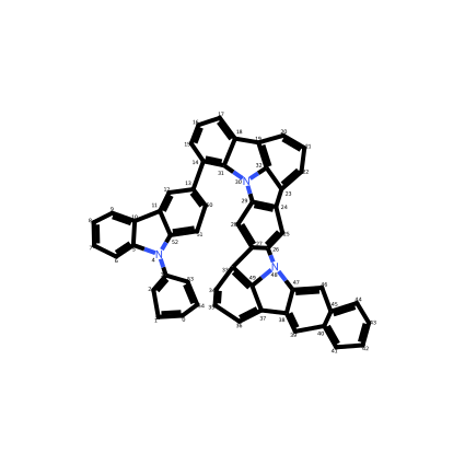 c1ccc(-n2c3ccccc3c3cc(-c4cccc5c6cccc7c8cc9c(cc8n(c45)c76)c4cccc5c6cc7ccccc7cc6n9c54)ccc32)cc1